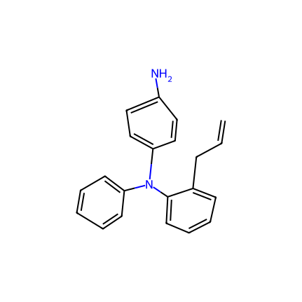 C=CCc1ccccc1N(c1ccccc1)c1ccc(N)cc1